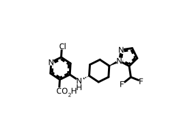 O=C(O)c1cnc(Cl)cc1N[C@H]1CC[C@H](n2nccc2C(F)F)CC1